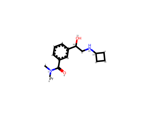 CC(C)N(C)C(=O)c1cccc(C(O)CNC2CCC2)c1